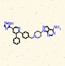 Nc1ncnc2c1cnn2C1CCN(Cc2ccc(-c3ncc(-c4ncn[nH]4)cc3-c3ccccc3)cc2)CC1